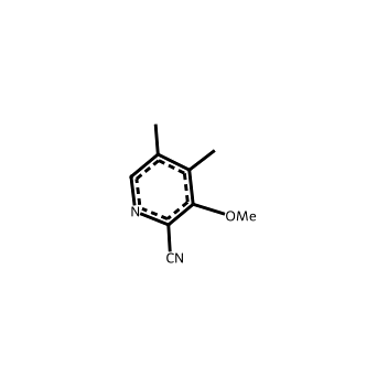 COc1c(C#N)ncc(C)c1C